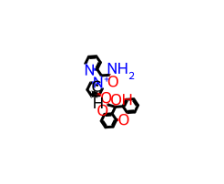 NC(=O)C(c1ccccn1)[N+]12CCC(CC1)[C@@H](OC(=O)C1(O)c3ccccc3Oc3ccccc31)C2